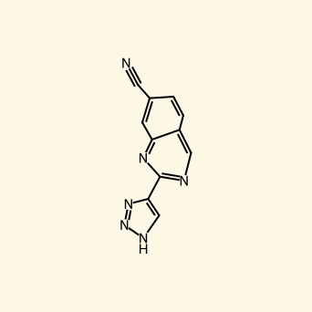 N#Cc1ccc2cnc(-c3c[nH]nn3)nc2c1